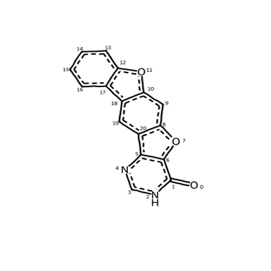 O=c1[nH]cnc2c1oc1cc3oc4ccccc4c3cc12